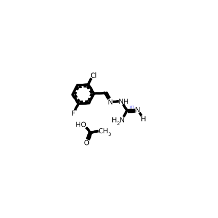 CC(=O)O.[H]/N=C(\N)NN=Cc1cc(F)ccc1Cl